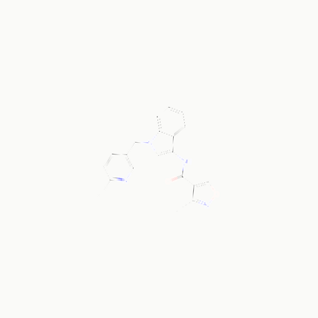 Cc1ccc(Cn2cc(NC(=O)c3conc3C)c3ccccc32)cn1